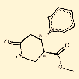 COC(=O)[C@H]1CNC(=O)C[C@@H]1c1ccccc1